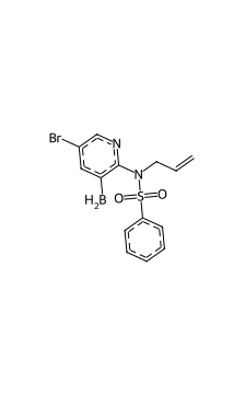 Bc1cc(Br)cnc1N(CC=C)S(=O)(=O)c1ccccc1